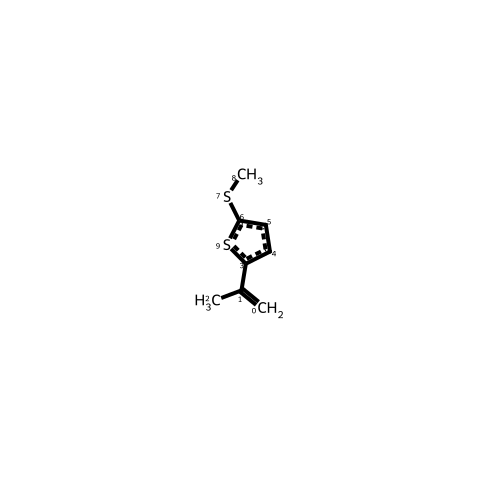 C=C(C)c1ccc(SC)s1